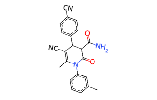 CC1=C(C#N)C(c2ccc(C#N)cc2)C(C(N)=O)C(=O)N1c1cccc(C)c1